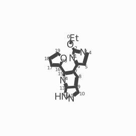 CCOc1nccc(-c2cc3cn[nH]c3nc2-c2ccco2)n1